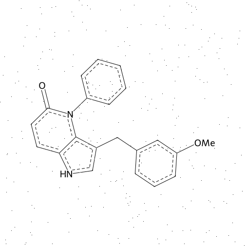 COc1cccc(Cc2c[nH]c3ccc(=O)n(-c4ccccc4)c23)c1